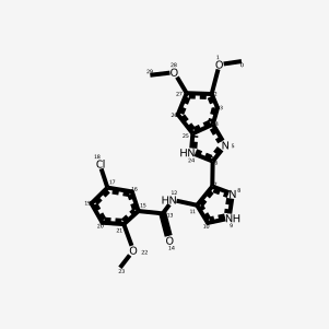 COc1cc2nc(-c3n[nH]cc3NC(=O)c3cc(Cl)ccc3OC)[nH]c2cc1OC